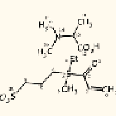 C=CC(=O)S(C)(CC)CCCS(=O)(=O)O.CC(C(=O)O)N(C)C